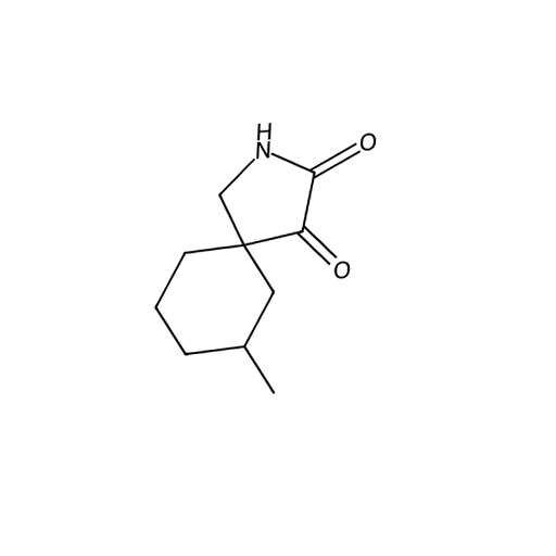 CC1CCCC2(CNC(=O)C2=O)C1